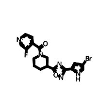 O=C(c1ccncc1F)N1CCCC(c2nc(-c3cc(Br)c[nH]3)no2)C1